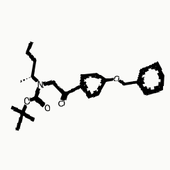 CCC[C@@H](C)N(CC(=O)c1ccc(OCc2ccccc2)cc1)C(=O)OC(C)(C)C